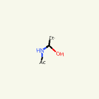 C[CH]C(O)NC(C)=O